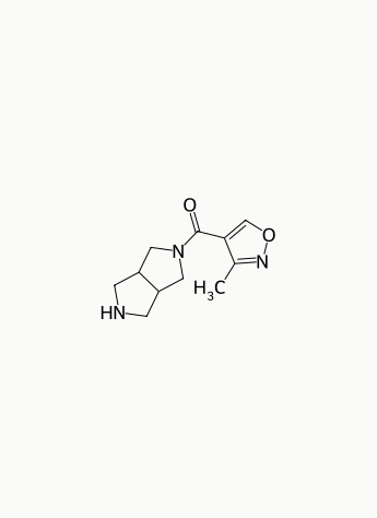 Cc1nocc1C(=O)N1CC2CNCC2C1